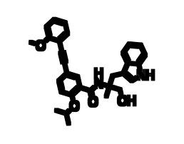 COc1ccccc1C#Cc1ccc(OC(C)C)c(C(=O)NC(C)(CO)Cc2c[nH]c3ccccc23)c1